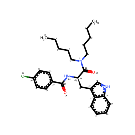 CCCCCN(CCCCC)C(=O)[C@@H](Cc1c[nH]c2ccccc12)NC(=O)c1ccc(Cl)cc1